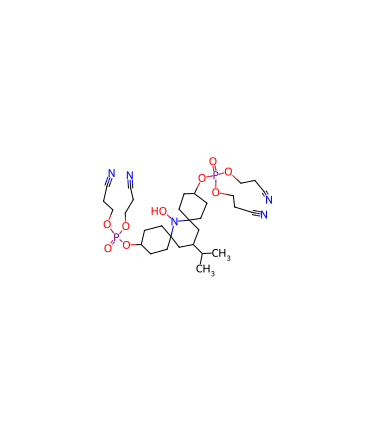 CC(C)C1CC2(CCC(OP(=O)(OCCC#N)OCCC#N)CC2)N(O)C2(CCC(OP(=O)(OCCC#N)OCCC#N)CC2)C1